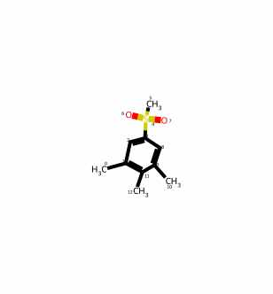 Cc1cc(S(C)(=O)=O)cc(C)c1C